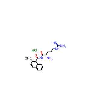 Cl.N=C(N)NCCC[C@H](N)C(=O)NC(=O)c1c(C=O)ccc2ccccc12